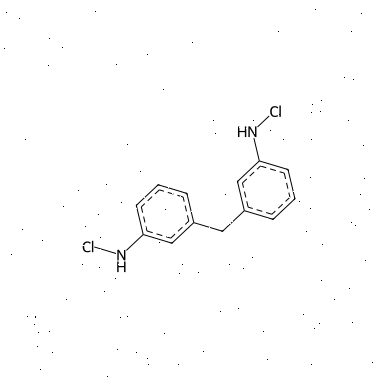 ClNc1cccc(Cc2cccc(NCl)c2)c1